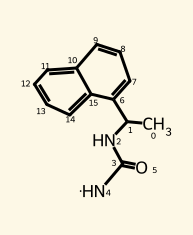 CC(NC([NH])=O)c1cccc2ccccc12